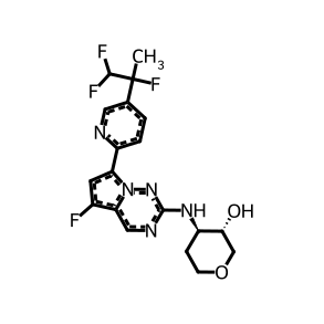 CC(F)(c1ccc(-c2cc(F)c3cnc(N[C@@H]4CCOC[C@H]4O)nn23)nc1)C(F)F